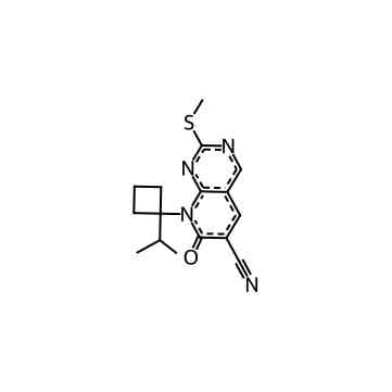 CSc1ncc2cc(C#N)c(=O)n(C3(C(C)C)CCC3)c2n1